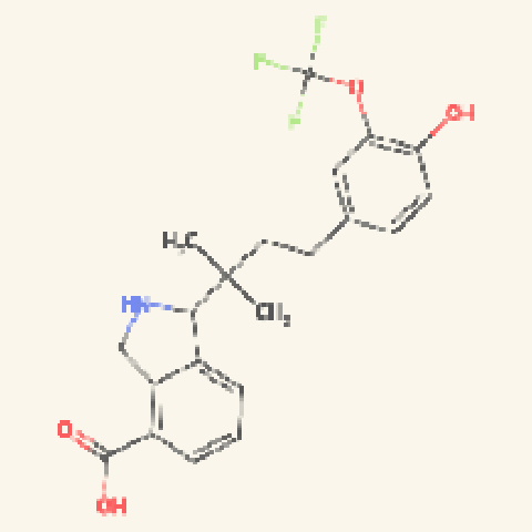 CC(C)(CCc1ccc(O)c(OC(F)(F)F)c1)C1NCc2c(C(=O)O)cccc21